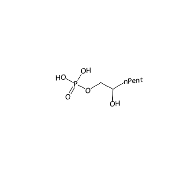 CCCCCC(O)COP(=O)(O)O